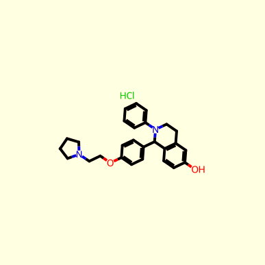 Cl.Oc1ccc2c(c1)CCN(c1ccccc1)C2c1ccc(OCCN2CCCC2)cc1